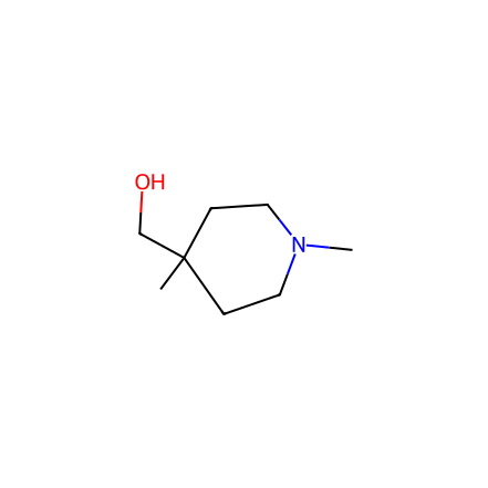 CN1CCC(C)(CO)CC1